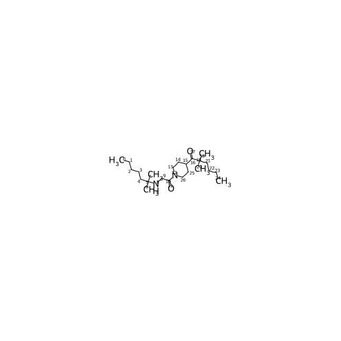 CCCCCC(C)(C)NCC(=O)N1CCC(C(=O)C(C)(C)CCCC)CC1